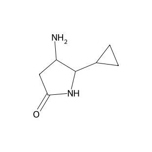 NC1CC(=O)NC1C1CC1